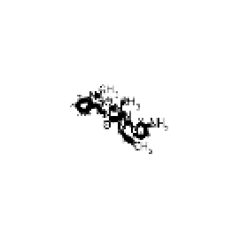 CC#CCn1c(N2CCCC(N)C2)nc2c1c(=O)n(Cc1nc(C)nc3ccccc13)c(=O)n2C